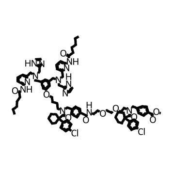 CCCCCC(=O)Nc1cccc(CN(Cc2cc(CN(Cc3cccc(NC(=O)CCCCC)n3)Cc3ncc[nH]3)cc(OCCCCN(Cc3ccc(C(=O)NCCOCCOCCN(Cc4ccc(C(=O)OC)cc4)C(=O)C4(c5ccc(Cl)cc5)CCCCC4)cc3)C(=O)C3(c4ccc(Cl)cc4)CCCCC3)c2)Cc2ncc[nH]2)n1